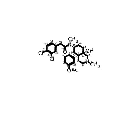 CC(=O)Oc1cccc([C@@]23CCN(C)C[C@@]2(O)CC[C@@H](N(C)C(=O)Cc2ccc(Cl)c(Cl)c2)C3)c1